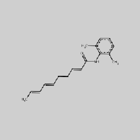 C/C=C/C=C/CC/C=C/C(=O)Nc1c(C)cccc1C